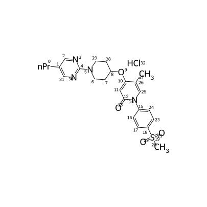 CCCc1cnc(N2CCC(Oc3cc(=O)n(-c4ccc(S(C)(=O)=O)cc4)cc3C)CC2)nc1.Cl